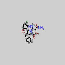 CNC(CC(N)=O)N1C2c3cc(F)ccc3OC[C@H]2[C@@H](c2ccccc2)N1C(=O)OC